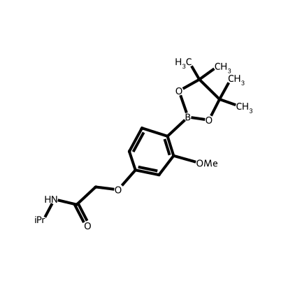 COc1cc(OCC(=O)NC(C)C)ccc1B1OC(C)(C)C(C)(C)O1